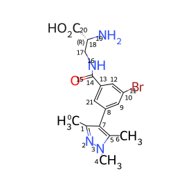 Cc1nn(C)c(C)c1-c1cc(Br)cc(C(=O)NC[C@@H](N)C(=O)O)c1